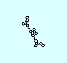 C(=C\c1ccc2c(c1)c1ccccc1n2-c1ccc2ccccc2c1)/c1ccc2c(c1)C1(c3ccccc3-c3ccccc31)c1cc(/C=C/c3ccc4c(c3)c3ccccc3n4-c3ccc4ccccc4c3)ccc1-2